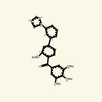 COc1cc(C(=O)c2ccc(-c3cccc(-n4cncn4)c3)cc2NC(C)=O)cc(OC)c1OC